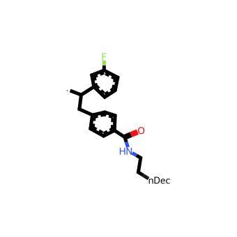 [CH2]C(Cc1ccc(C(=O)NCCCCCCCCCCCC)cc1)c1cccc(F)c1